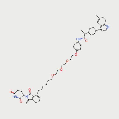 C=C1C2=C(C(=O)N1C1CCC(=O)NC1=O)C(CCCCCCOCCOCCOCCOc1ccc(NC(=O)C(C)C3CCC(c4ccnc5c4C=C(C)CC5)CC3)cc1)=CCC2